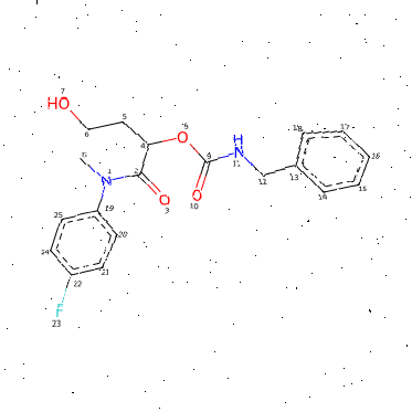 CN(C(=O)C(CCO)OC(=O)NCc1ccccc1)c1ccc(F)cc1